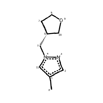 Cc1cnn(C[C@@H]2CCOC2)c1